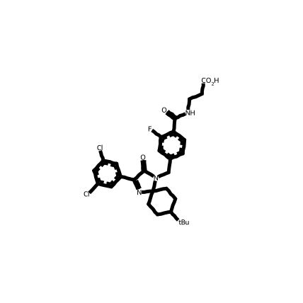 CC(C)(C)C1CCC2(CC1)N=C(c1cc(Cl)cc(Cl)c1)C(=O)N2Cc1ccc(C(=O)NCCC(=O)O)c(F)c1